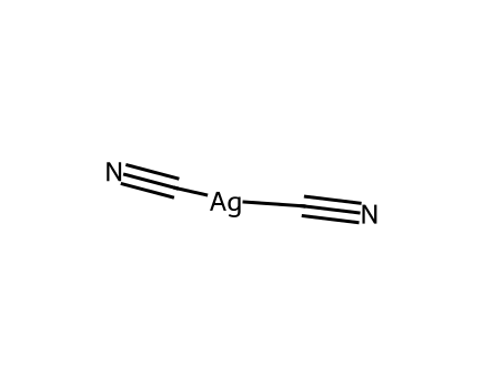 N#[C][Ag][C]#N